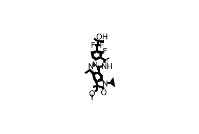 Cc1nnc(N[C@H](C)c2cccc(C(F)(F)C(C)(C)O)c2F)c2cc3c(cc12)C(C)(COI)C(=O)N3C1CC1